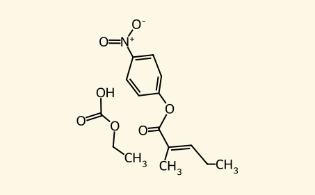 CCC=C(C)C(=O)Oc1ccc([N+](=O)[O-])cc1.CCOC(=O)O